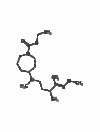 CCOC(=O)N1CCCC(N(C)CCC(C)/C(C)=N/OC)CC1